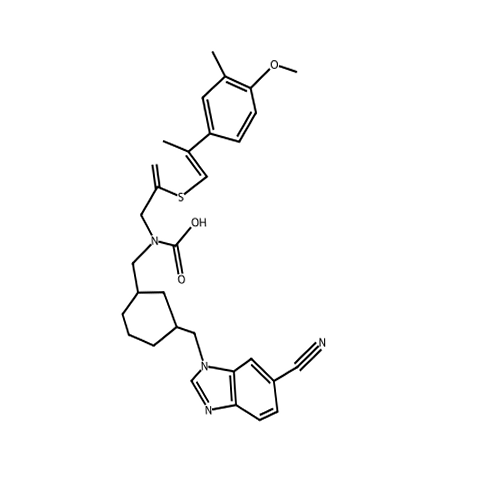 C=C(CN(CC1CCCC(Cn2cnc3ccc(C#N)cc32)C1)C(=O)O)S/C=C(\C)c1ccc(OC)c(C)c1